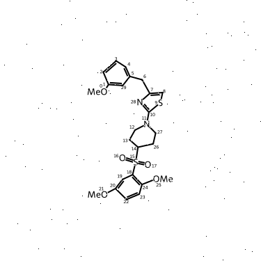 COc1cccc(Cc2csc(N3CCC(S(=O)(=O)c4cc(OC)ccc4OC)CC3)n2)c1